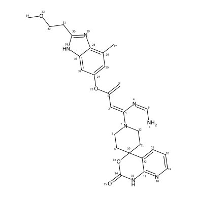 C=C(/C=C(\N=C/N)N1CCC2(CC1)OC(=O)Nc1ncccc12)Oc1cc(C)c2nc(CCOC)[nH]c2c1